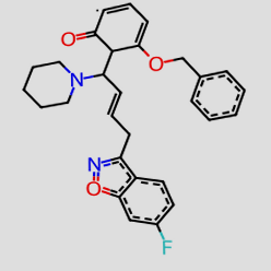 O=C1[C]=CC=C(OCc2ccccc2)C1C(C=CCc1noc2cc(F)ccc12)N1CCCCC1